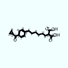 O=C(c1ccc(CCCCCCC(C(=O)O)C(=O)O)cc1)C1CC1